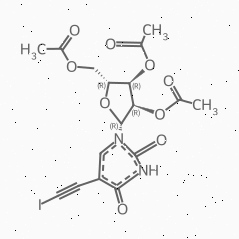 CC(=O)OC[C@H]1O[C@@H](n2cc(C#CI)c(=O)[nH]c2=O)[C@H](OC(C)=O)[C@@H]1OC(C)=O